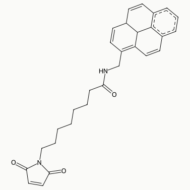 O=C(CCCCCCCN1C(=O)C=CC1=O)NCC1=C2C=Cc3cccc4c3C2C(C=C1)C=C4